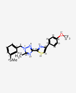 CSc1cccc(Cn2nc(-c3nc(-c4ccc(OC(F)(F)F)cc4)cs3)nc2C)c1